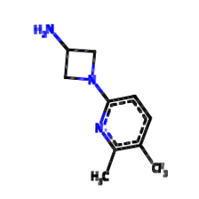 Cc1nc(N2CC(N)C2)ccc1C(F)(F)F